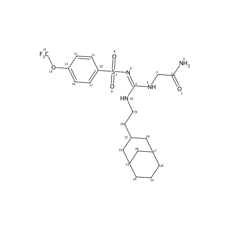 NC(=O)CN/C(=N/S(=O)(=O)c1ccc(OC(F)(F)F)cc1)NCCC1CC2CCCC(C2)C1